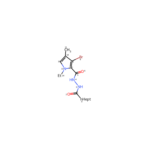 CCCCCCCC(=O)NNC(=O)c1c(Br)c(C)cn1CC